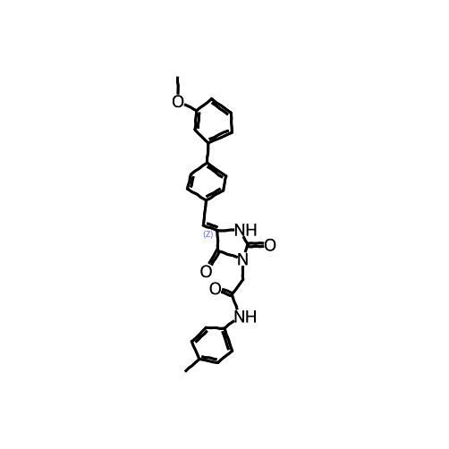 COc1cccc(-c2ccc(/C=C3\NC(=O)N(CC(=O)Nc4ccc(C)cc4)C3=O)cc2)c1